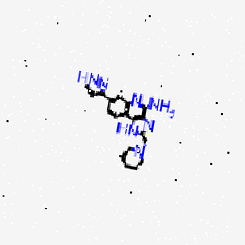 Nc1nc2cc(-c3cc[nH]n3)ccc2c2[nH]c(CN3CCCCC3)nc12